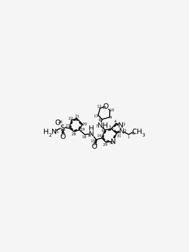 CCn1ncc2c(NC3CCOCC3)c(C(=O)NCc3cccc(S(N)(=O)=O)c3)cnc21